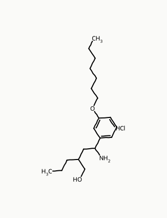 CCCCCCCOc1cccc(C(N)CC(CO)CCC)c1.Cl